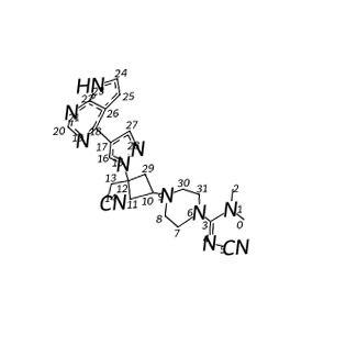 CN(C)C(=NC#N)N1CCN(C2CC(CC#N)(n3cc(-c4ncnc5[nH]ccc45)cn3)C2)CC1